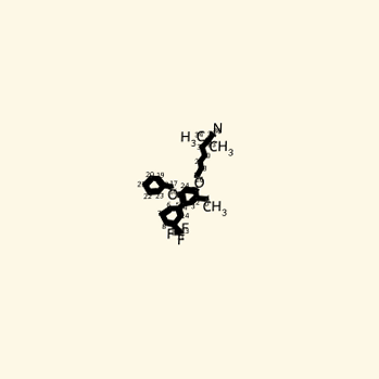 CCc1cc(-c2cccc(C(F)(F)F)c2)c(OCc2ccccc2)cc1OCCCCCC(C)(C)C#N